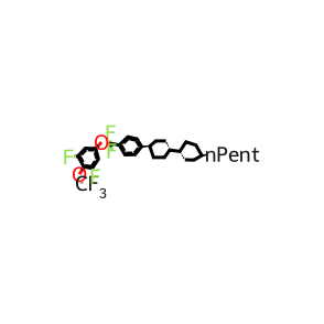 CCCCC[C@H]1CC[C@H]([C@H]2CC[C@H](c3ccc(C(F)(F)Oc4cc(F)c(OC(F)(F)F)c(F)c4)cc3)CC2)CC1